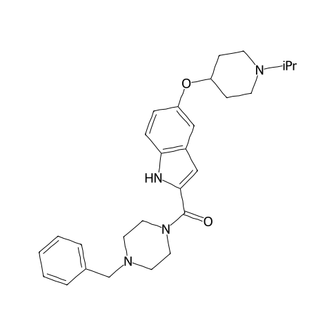 CC(C)N1CCC(Oc2ccc3[nH]c(C(=O)N4CCN(Cc5ccccc5)CC4)cc3c2)CC1